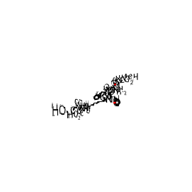 CNC(=O)[C@H](CC(=O)O)NC(=O)[C@@H](N)CNC(=O)[C@H](Cc1ccccc1)NC(=O)[C@H](Cc1ccccc1)NC(=O)CCCCCCCNC(=O)CC[C@H](NC(=O)N[C@@H](CCC(=O)O)C(=O)O)C(=O)O